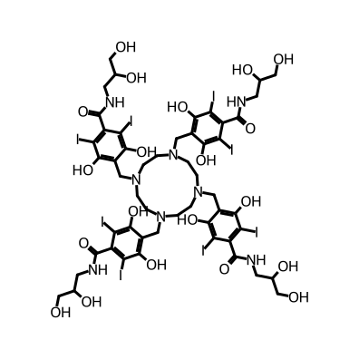 O=C(NCC(O)CO)c1c(I)c(O)c(CN2CCN(Cc3c(O)c(I)c(C(=O)NCC(O)CO)c(I)c3O)CCN(Cc3c(O)c(I)c(C(=O)NCC(O)CO)c(I)c3O)CCN(Cc3c(O)c(I)c(C(=O)NCC(O)CO)c(I)c3O)CC2)c(O)c1I